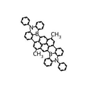 Cc1cc2c3c(cc4c(C)cc5c6c(cc1c3c46)B1c3ccccc3N(c3ccccc3)c3cccc-5c31)B1c3ccccc3N(c3ccccc3)c3cccc-2c31